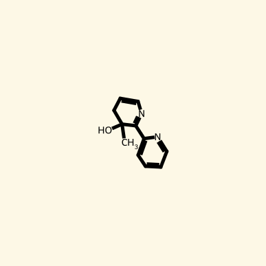 CC1(O)CC=CN=C1c1ccccn1